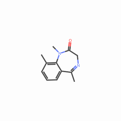 CC1=NCC(=O)N(C)c2c(C)cccc21